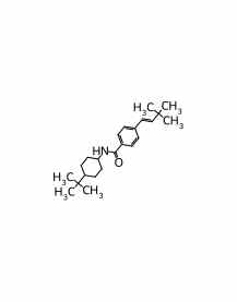 CC(C)(C)/C=C/c1ccc(C(=O)NC2CCC(C(C)(C)C)CC2)cc1